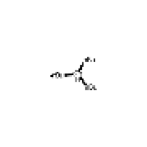 CCC[CH2][SnH]([CH2]CCC)[CH2]CCC.[H-]